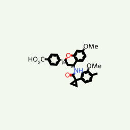 COc1ccc2c(c1)O[C@@H](c1ccc(C(=O)O)cc1)C[C@H]2NC(=O)C1(c2ccc(C)c(OC)c2)CC1